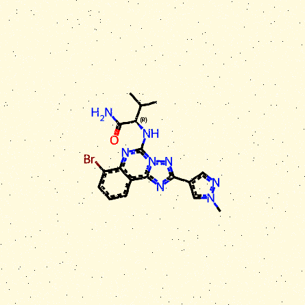 CC(C)[C@@H](Nc1nc2c(Br)cccc2c2nc(-c3cnn(C)c3)nn12)C(N)=O